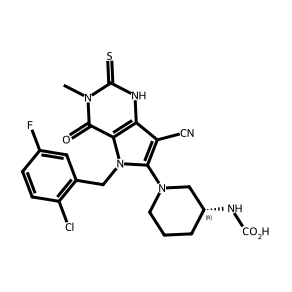 Cn1c(=S)[nH]c2c(C#N)c(N3CCC[C@@H](NC(=O)O)C3)n(Cc3cc(F)ccc3Cl)c2c1=O